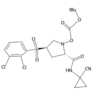 CC(C)(C)OC(=O)ON1C[C@H](S(=O)(=O)c2cccc(Cl)c2Cl)C[C@H]1C(=O)NC1(C#N)CC1